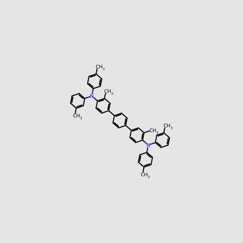 Cc1ccc(N(c2cccc(C)c2)c2ccc(-c3ccc(-c4ccc(N(c5ccc(C)cc5)c5cccc(C)c5)c(C)c4)cc3)cc2C)cc1